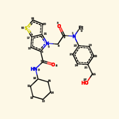 CCN(C(=O)Cn1c(C(=O)NC2CCCCC2)cc2sccc21)c1ccc(CO)cc1